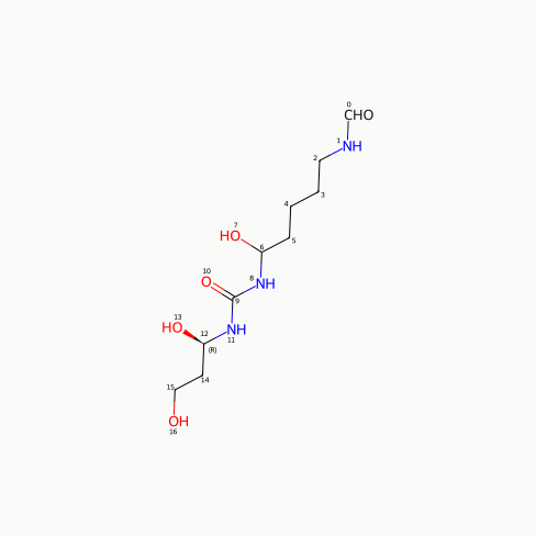 O=CNCCCCC(O)NC(=O)N[C@H](O)CCO